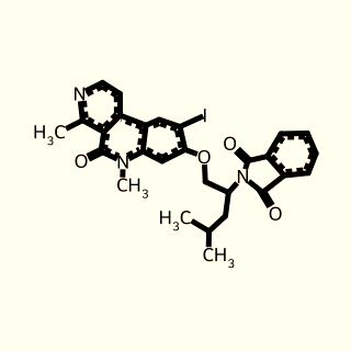 Cc1nccc2c1c(=O)n(C)c1cc(OCC(CC(C)C)N3C(=O)c4ccccc4C3=O)c(I)cc21